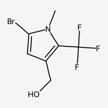 Cn1c(Br)cc(CO)c1C(F)(F)F